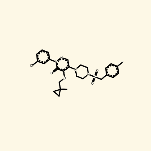 CC1(COc2c(N3CCN(S(=O)(=O)Cc4ccc(I)cc4)CC3)cnn(-c3cccc(Cl)c3)c2=O)CC1